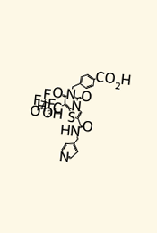 Cc1c(=O)n(Cc2ccc(C(=O)O)cc2)c(=O)n2cc(C(=O)NCc3ccncc3)sc12.O=C(O)C(F)(F)F